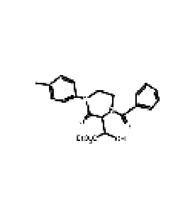 CCOC(=O)C(O)C1C(=O)N(c2ccc(C)cc2)CCN1C(=O)c1ccccc1